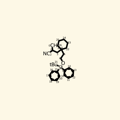 CC(C#N)CC1(CCO[Si](c2ccccc2)(c2ccccc2)C(C)(C)C)CCCCC1